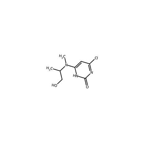 CC(CO)N(C)c1cc(Cl)nc(=O)[nH]1